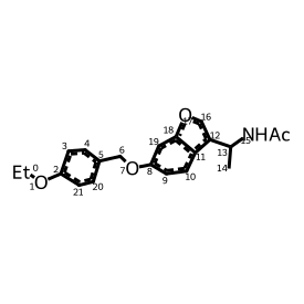 CCOc1ccc(COc2ccc3c(C(C)NC(C)=O)coc3c2)cc1